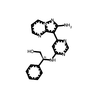 Nc1nn2cccnc2c1-c1cc(N[C@H](CO)c2ccccc2)ncn1